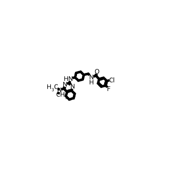 CN(C)c1nc(NC2CCC(CNC(=O)c3ccc(F)c(Cl)c3)CC2)nc2c1CCCC2